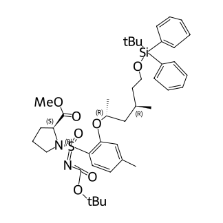 COC(=O)[C@@H]1CCCN1[S@@](=O)(=NC(=O)OC(C)(C)C)c1ccc(C)cc1O[C@H](C)C[C@H](C)CCO[Si](c1ccccc1)(c1ccccc1)C(C)(C)C